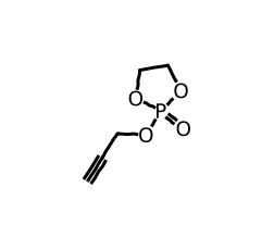 C#CCOP1(=O)OCCO1